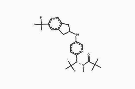 CN(C(=O)C(C)(C)C)[C@@H](c1ccc(NC2Cc3ccc(C(F)(F)F)cc3C2)cn1)C(F)(F)F